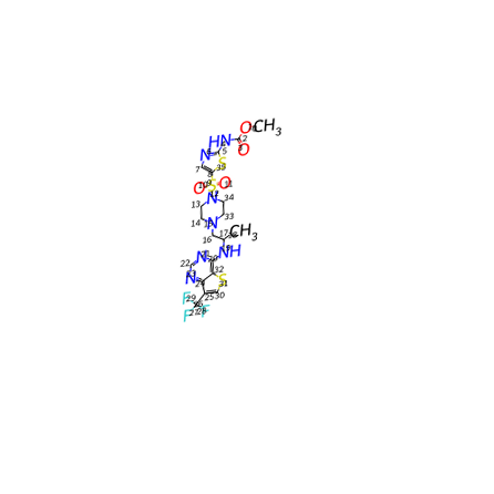 COC(=O)Nc1ncc(S(=O)(=O)N2CCN(CC(C)Nc3ncnc4c(C(F)(F)F)csc34)CC2)s1